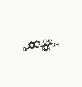 Cc1c(C(=O)O)ncnc1N1CCc2ccc(Br)cc2C1